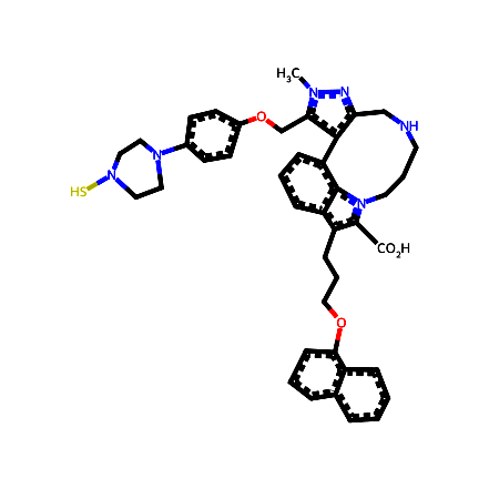 Cn1nc2c(c1COc1ccc(N3CCN(S)CC3)cc1)-c1cccc3c(CCCOc4cccc5ccccc45)c(C(=O)O)n(c13)CCCNC2